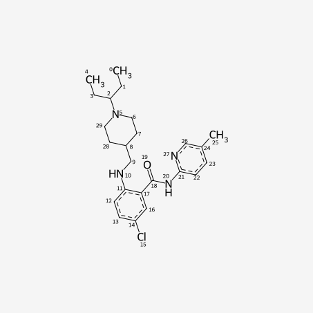 CCC(CC)N1CCC(CNc2ccc(Cl)cc2C(=O)Nc2ccc(C)cn2)CC1